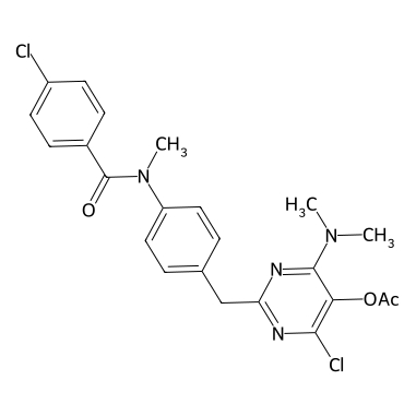 CC(=O)Oc1c(Cl)nc(Cc2ccc(N(C)C(=O)c3ccc(Cl)cc3)cc2)nc1N(C)C